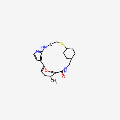 CC1CC=C2OC=C1C(=O)NCC1CCC(CC1)SCCNc1cc2ccn1